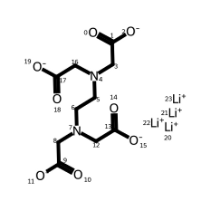 O=C([O-])CN(CCN(CC(=O)[O-])CC(=O)[O-])CC(=O)[O-].[Li+].[Li+].[Li+].[Li+]